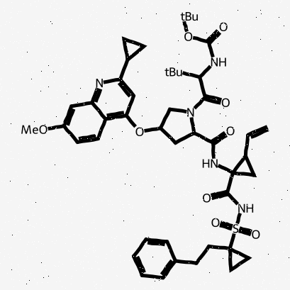 C=CC1CC1(NC(=O)C1CC(Oc2cc(C3CC3)nc3cc(OC)ccc23)CN1C(=O)C(NC(=O)OC(C)(C)C)C(C)(C)C)C(=O)NS(=O)(=O)C1(CCc2ccccc2)CC1